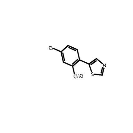 O=Cc1cc(Cl)ccc1-c1cncs1